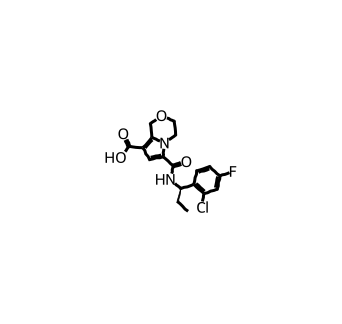 CC[C@@H](NC(=O)c1cc(C(=O)O)c2n1CCOC2)c1ccc(F)cc1Cl